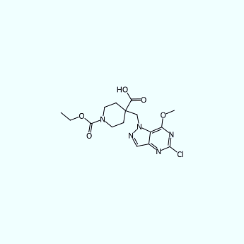 CCOC(=O)N1CCC(Cn2ncc3nc(Cl)nc(OC)c32)(C(=O)O)CC1